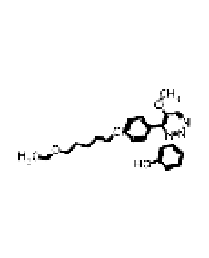 CCCCCCOCC.COc1cnnnc1-c1ccccc1.Oc1ccccc1